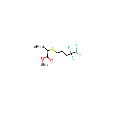 CCCCCC(SCCCC(F)(F)C(F)F)C(=O)OCCCC